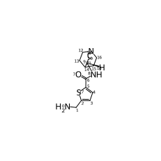 NCc1ccc(C(=O)N[C@H]2CN3CCC2CC3)s1